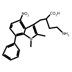 Cc1c(CC(CCN)C(=O)O)c2c([N+](=O)[O-])ccc(-c3ccccc3)c2n1C